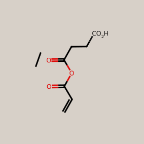 C=CC(=O)OC(=O)CCC(=O)O.CC